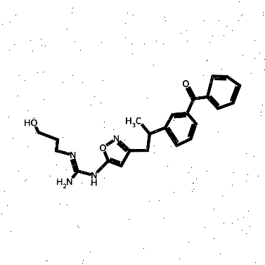 CC(Cc1cc(NC(N)=NCCCO)on1)c1cccc(C(=O)c2ccccc2)c1